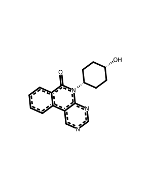 O=c1c2ccccc2c2cncnc2n1[C@H]1CC[C@@H](O)CC1